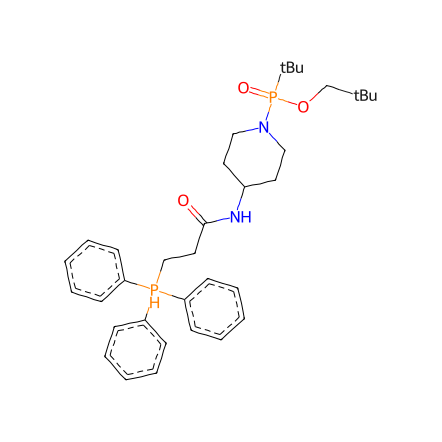 CC(C)(C)COP(=O)(N1CCC(NC(=O)CC[PH](c2ccccc2)(c2ccccc2)c2ccccc2)CC1)C(C)(C)C